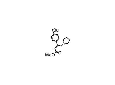 COC(=O)/C=C(\CN1CCCC1)c1ccc(C(C)(C)C)cc1